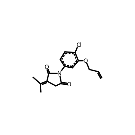 C=CCOc1cc(N2C(=O)CC(=C(C)C)C2=O)ccc1Cl